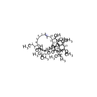 CCCC1CCCC/C=C/CC(C(O)N(C)Cc2ccc(OC)cc2OC)C[C@@H](C(=O)C(=O)NC(C)C)NC(=O)[C@H](CC(C)C)NC1=O